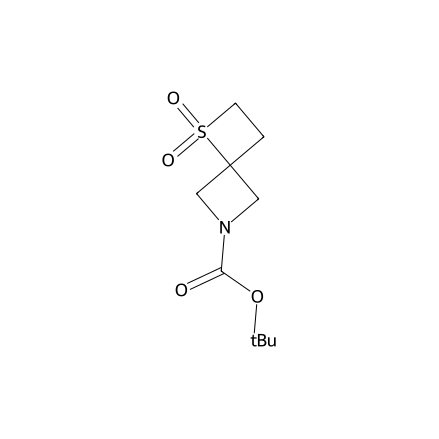 CC(C)(C)OC(=O)N1CC2(CCS2(=O)=O)C1